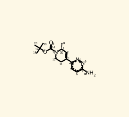 C[C@H]1C=C(c2ccc(N)nn2)CCN1C(=O)OC(C)(C)C